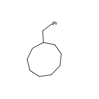 CC(C)C[C]1CCCCCCCC1